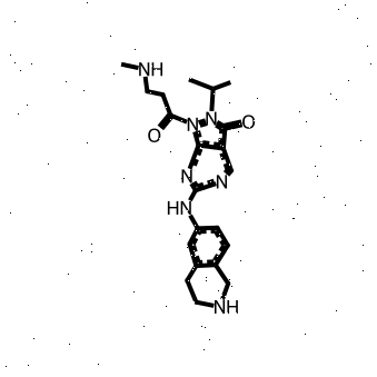 CNCCC(=O)n1c2nc(Nc3ccc4c(c3)CCNC4)ncc2c(=O)n1C(C)C